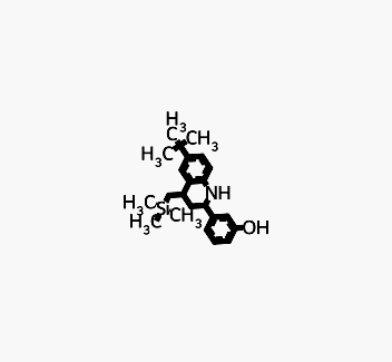 CC(C)(C)c1ccc2c(c1)C(C[Si](C)(C)C)CC(c1cccc(O)c1)N2